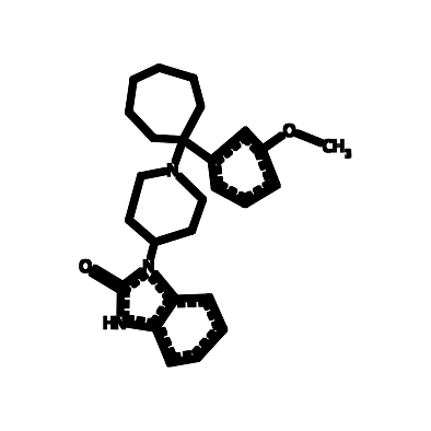 COc1cccc(C2(N3CCC(n4c(=O)[nH]c5ccccc54)CC3)CCCCCC2)c1